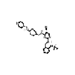 N#Cc1cnc(NCc2ccccc2OC(F)(F)F)nc1NCC1CCC(NCc2ccncc2)CC1